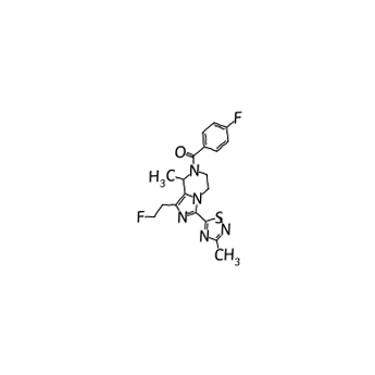 Cc1nsc(-c2nc(CCF)c3n2CCN(C(=O)c2ccc(F)cc2)C3C)n1